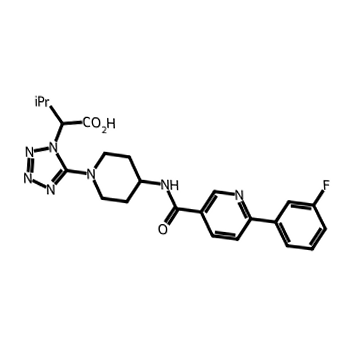 CC(C)C(C(=O)O)n1nnnc1N1CCC(NC(=O)c2ccc(-c3cccc(F)c3)nc2)CC1